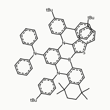 CC(C)(C)c1ccc(N2c3cc(N(c4ccccc4)c4ccccc4)cc4c3B(c3ccc5c(c32)C(C)(C)CCC5(C)C)c2sc3ccc(C(C)(C)C)cc3c2N4c2ccc(C(C)(C)C)cc2-c2ccccc2)cc1